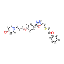 O=C1CCN(CCCOc2ccc(-c3nnc(CSCCOc4ccccc4)o3)cc2)CC1